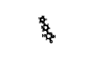 O=C1CNC(c2ccc(-n3ccnc3)nc2)=NN1